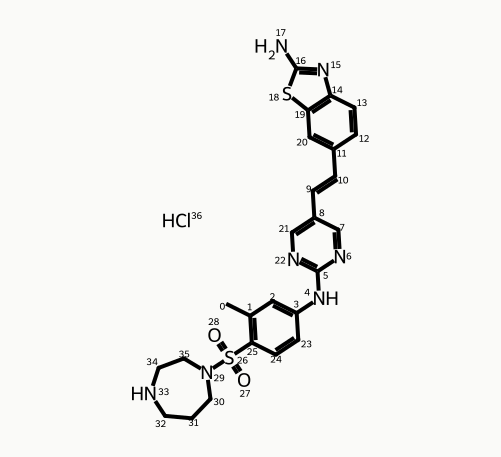 Cc1cc(Nc2ncc(C=Cc3ccc4nc(N)sc4c3)cn2)ccc1S(=O)(=O)N1CCCNCC1.Cl